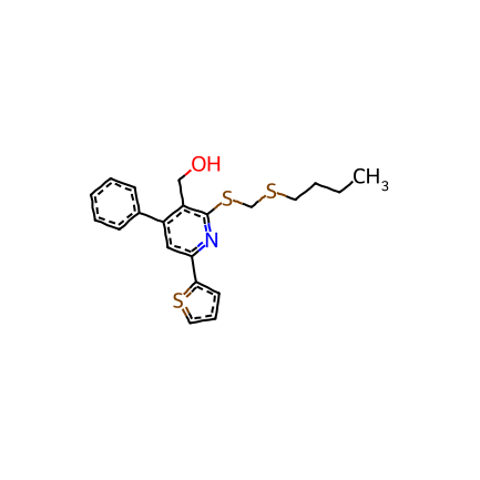 CCCCSCSc1nc(-c2cccs2)cc(-c2ccccc2)c1CO